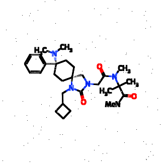 CNC(=O)C(C)(C)N(C)C(=O)CN1C[C@]2(CC[C@@](c3ccccc3)(N(C)C)CC2)N(CC2CCC2)C1=O